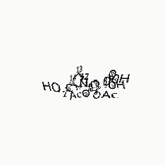 CC(=O)OC1[C@@H](COP(=O)(O)O)O[C@@H](N2C=CCC(C(=O)O)=C2)[C@H]1OC(C)=O